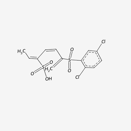 C=C(/C=C\C(=C/C)S(=O)(=O)O)S(=O)(=O)c1cc(Cl)ccc1Cl